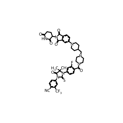 CC1(C)C(=O)N(c2ccc(C#N)c(C(F)(F)F)c2)C(=S)N1c1ccc(C(=O)N2CCN(CC3CCN(c4ccc5c(c4)C(=O)N(C4CCC(=O)NC4=O)C5=O)CC3)CC2)c(F)c1